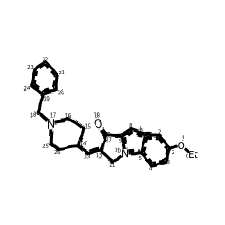 CCOc1ccc2c(c1)cc1n2CC(=CC2CCN(Cc3ccccc3)CC2)C1=O